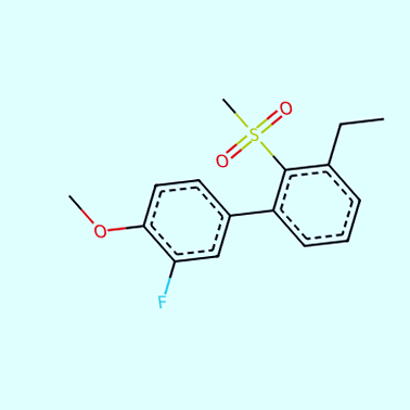 CCc1cccc(-c2ccc(OC)c(F)c2)c1S(C)(=O)=O